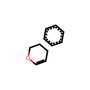 C1=COCCC1.c1ccccc1